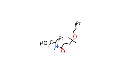 CC(C)CCOC(C)(C)CCC(=O)N(C)C(C(=O)O)C(C)C